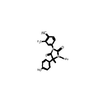 CCCN1C(=O)N(c2ccc(C#N)c(C(F)(F)F)c2)C(=O)C1(C)c1ccc(O)cc1